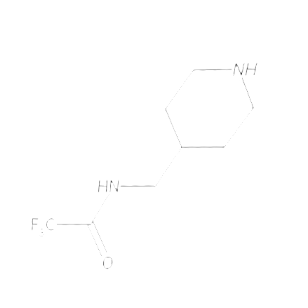 O=C(NCC1CCNCC1)C(F)(F)F